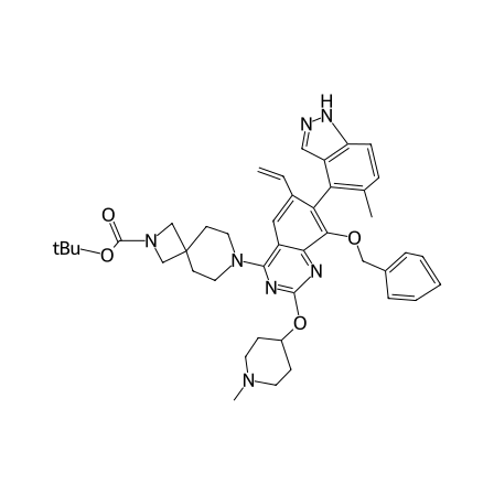 C=Cc1cc2c(N3CCC4(CC3)CN(C(=O)OC(C)(C)C)C4)nc(OC3CCN(C)CC3)nc2c(OCc2ccccc2)c1-c1c(C)ccc2[nH]ncc12